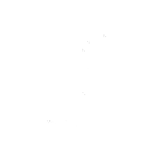 COC(=O)CC[n+]1ccc(-c2nn3ccnc3s2)cc1